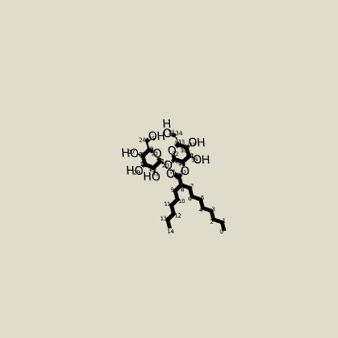 CCCCCCCCC(CCCCCC)C(=O)O[C@H]1[C@@H](O[C@H]2O[C@H](CO)[C@@H](O)[C@H](O)[C@H]2O)O[C@H](CO)[C@@H](O)[C@@H]1O